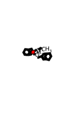 CCOCC1(C)CC2CCCC(C1)C2CCOCC1CC2CCCC(C2)C1